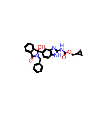 O=C(Nc1nc2cc(C3(O)c4ccccc4C(=O)N3Cc3ccccc3)ccc2[nH]1)OCC1CC1